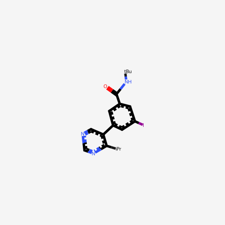 CC(C)c1ncncc1-c1cc(I)cc(C(=O)NC(C)(C)C)c1